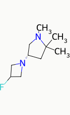 CN1C[C@@H](N2CC(F)C2)CC1(C)C